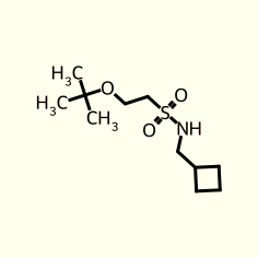 CC(C)(C)OCCS(=O)(=O)NCC1CCC1